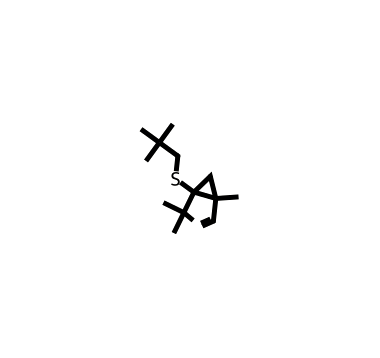 C=CC1(C)CC1(SCC(C)(C)C)C(C)(C)C